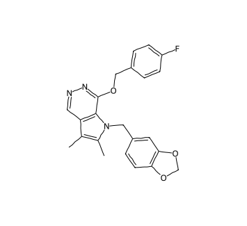 Cc1c(C)n(Cc2ccc3c(c2)OCO3)c2c(OCc3ccc(F)cc3)nncc12